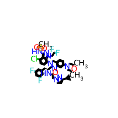 C[C@@H]1CN(c2ccc3c(c2)N=C([C@H](Cc2cc(F)cc(F)c2)NC(=O)Cn2ccc(C4CC4)n2)N(c2ccc(Cl)c4c(NS(C)(=O)=O)nn(CC(F)F)c24)C3)C[C@H](C)O1